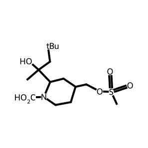 CC(C)(C)CC(C)(O)C1CC(COS(C)(=O)=O)CCN1C(=O)O